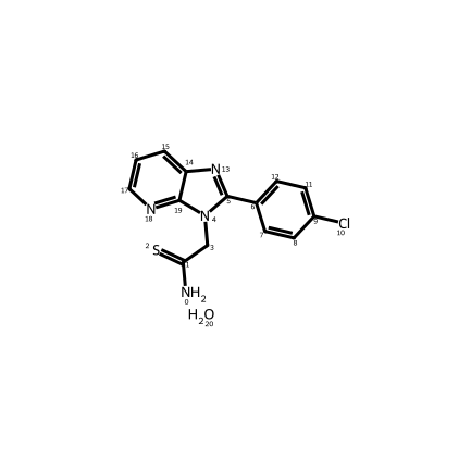 NC(=S)Cn1c(-c2ccc(Cl)cc2)nc2cccnc21.O